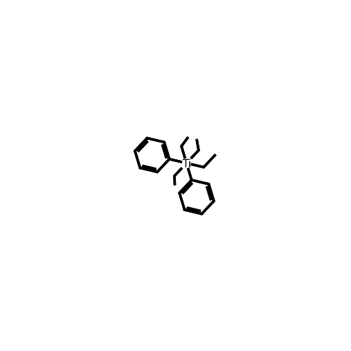 C[CH2][Ti]([CH2]C)([CH2]C)([CH2]C)([c]1ccccc1)[c]1ccccc1